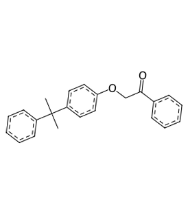 CC(C)(c1ccccc1)c1ccc(OCC(=O)c2ccccc2)cc1